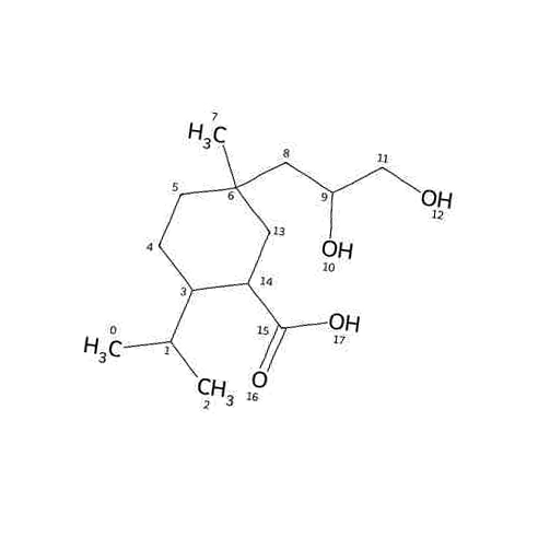 CC(C)C1CCC(C)(CC(O)CO)CC1C(=O)O